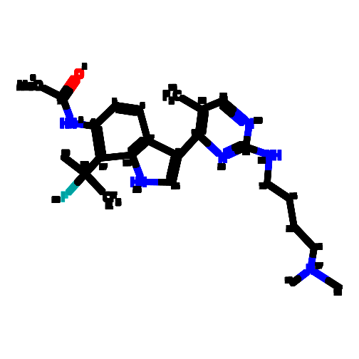 COC(=O)Nc1ccc2c(-c3nc(NCCCCN(C)C)ncc3C(F)(F)F)c[nH]c2c1C(C)(F)C(F)(F)F